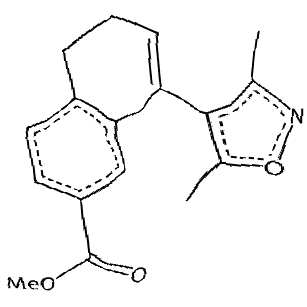 COC(=O)c1ccc2c(c1)C(c1c(C)noc1C)=CCC2